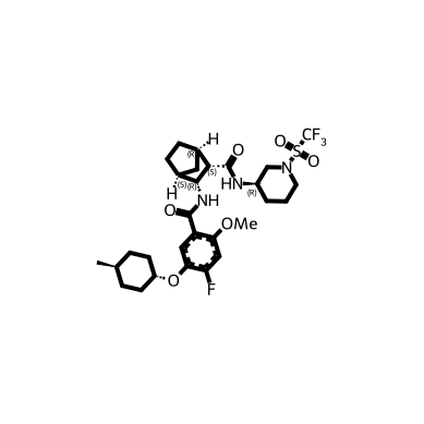 COc1cc(F)c(O[C@H]2CC[C@H](C)CC2)cc1C(=O)N[C@@H]1[C@H]2CC[C@H](C2)[C@@H]1C(=O)N[C@@H]1CCCN(S(=O)(=O)C(F)(F)F)C1